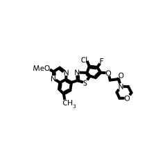 COc1cnc2c(-c3nc4c(Cl)c(F)c(OCC(=O)N5CCOCC5)cc4s3)cc(C)cc2n1